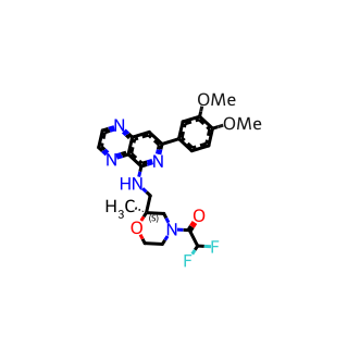 COc1ccc(-c2cc3nccnc3c(NC[C@@]3(C)CN(C(=O)C(F)F)CCO3)n2)cc1OC